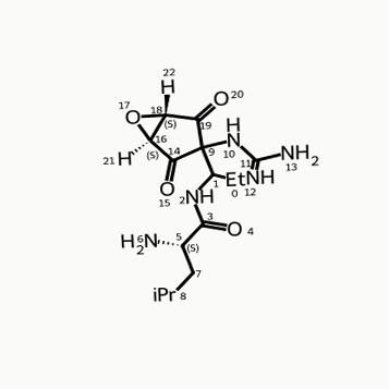 CCC(NC(=O)[C@@H](N)CC(C)C)C1(NC(=N)N)C(=O)[C@H]2O[C@@H]2C1=O